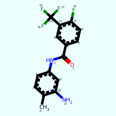 Cc1ccc(NC(=O)c2ccc(F)c(C(F)(F)F)c2)cc1N